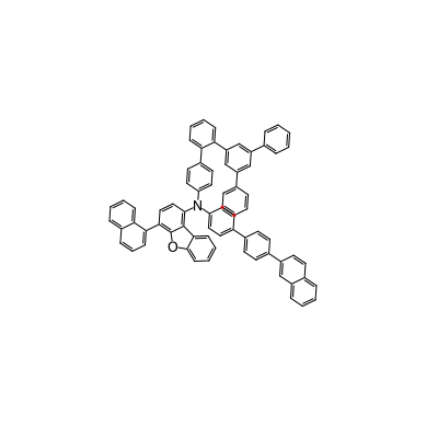 c1ccc(-c2cc(-c3ccccc3)cc(-c3ccccc3-c3ccc(N(c4ccc(-c5ccc(-c6ccc7ccccc7c6)cc5)cc4)c4ccc(-c5cccc6ccccc56)c5oc6ccccc6c45)cc3)c2)cc1